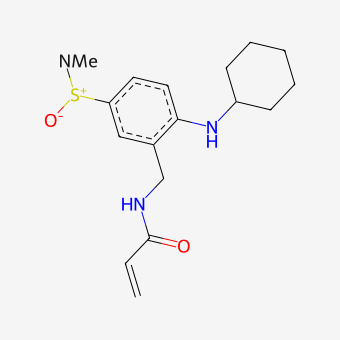 C=CC(=O)NCc1cc([S+]([O-])NC)ccc1NC1CCCCC1